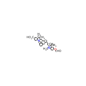 CN1C(=C/C=C2\CCC(C=CC3=[N+](C)c4ccc(OC=O)cc4C3(C)C)=C2Cc2ccccc2)C(C)(C)c2cc(C(=O)O)ccc21